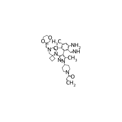 C=CC(=O)N1CCC(n2nc(N3CCN(C[C@@H]4COCCO4)CC34CCC4)c(-c3c(Cl)c(C)cc(N)c3C=N)c2C)CC1